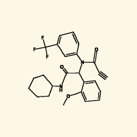 C#CC(=O)N(c1cccc(C(F)(F)F)c1)C(C(=O)NC1CCCCC1)c1ccccc1OC